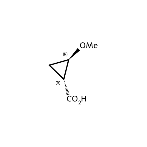 CO[C@@H]1C[C@H]1C(=O)O